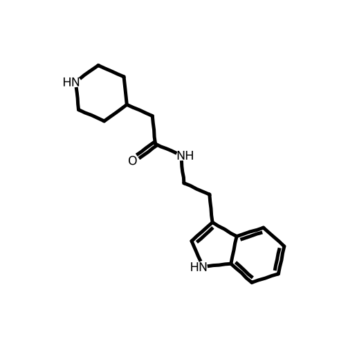 O=C(CC1CCNCC1)NCCc1c[nH]c2ccccc12